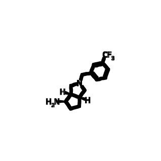 N[C@@H]1CC[C@H]2CN(Cc3cccc(C(F)(F)F)c3)C[C@H]21